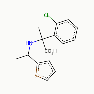 CC(NC(C)(C(=O)O)c1ccccc1Cl)c1cccs1